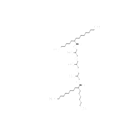 CCCCCCCCCC(CCCCCC)C(=O)OCC(O)COCC(O)COCC(O)COC(=O)C(CCCCCCC)CCCCCCCCC